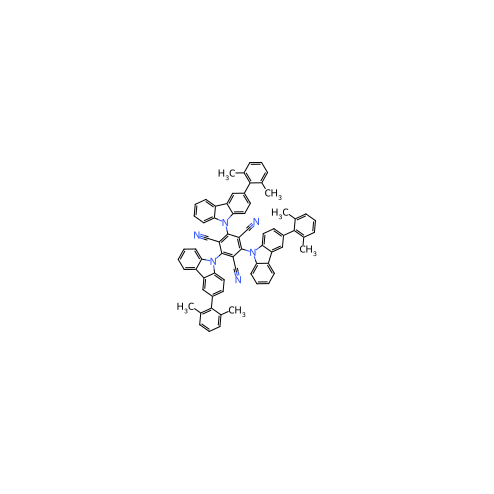 Cc1cccc(C)c1-c1ccc2c(c1)c1ccccc1n2-c1c(C#N)c(-n2c3ccccc3c3cc(-c4c(C)cccc4C)ccc32)c(C#N)c(-n2c3ccccc3c3cc(-c4c(C)cccc4C)ccc32)c1C#N